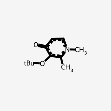 Cc1c(OC(C)(C)C)c(=O)ccn1C